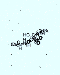 CC(C)(C)OC(=O)NCCNC(=N)c1ccc(OCC(O/N=C(\C(=O)O)c2csc(NC(=O)OC(C)(C)C)n2)C(=O)OC(c2ccccc2)c2ccccc2)cc1